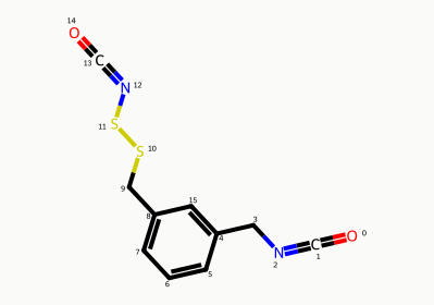 O=C=NCc1cccc(CSSN=C=O)c1